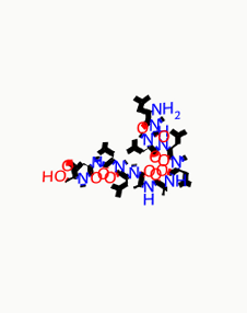 CC(C)C[C@H](NC(=O)[C@H](CC(C)C)N(C)C(=O)N(C)C(=O)[C@@H](N)CC(C)C)C(=O)N(C)[C@@H](CC(C)C)C(=O)N[C@@H](C)C(=O)N[C@@H](C)C(=O)N(C)[C@@H](CC(C)C)C(=O)N(C)[C@@H](CC(C)C)C(=O)N(C)[C@@H](CC(C)C)C(=O)N(C)[C@H](C=O)CO